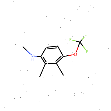 CNc1ccc(OC(F)(F)F)c(C)c1C